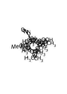 CO/N=C1\C[C@@H](C)O[C@@H](O[C@@H]2[C@@H](C)[C@H](O[C@H]3CC(C)N(C)C[C@H](C)O3)[C@@H](C)C(=O)O[C@H]([C@@H](C)CO[C@@H]3O[C@H](C)[C@@H](O)[C@@H](OC)[C@H]3OC)[C@H](C)[C@@H](OC(=O)CC(C)C)[C@@H](C)C(=O)[C@@](C)(OC(=O)NCc3ccnc(N4CCOCC4)c3)C[C@@H]2C)[C@@H]1O